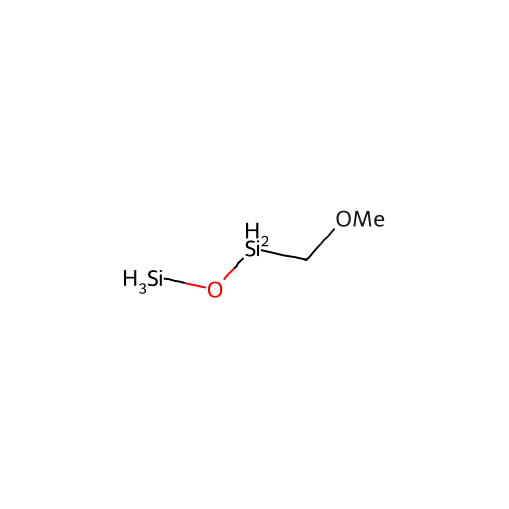 COC[SiH2]O[SiH3]